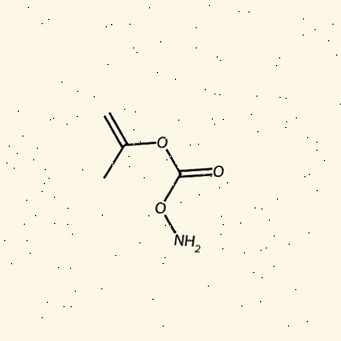 C=C(C)OC(=O)ON